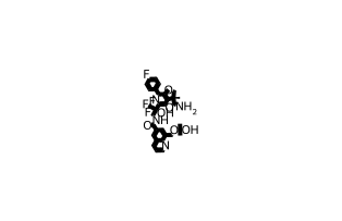 CC(C)(O)OCc1cc(C(=O)NCC(O)(c2cc3c(c(-c4ccc(F)cc4)n2)OC[C@]3(C)C(N)=O)C(F)(F)F)cc2cccnc12